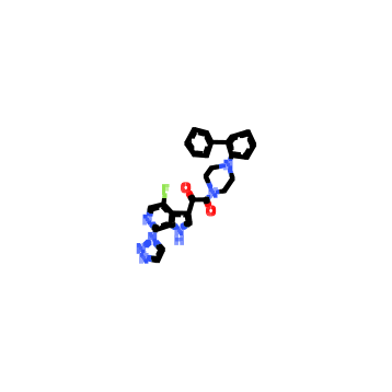 O=C(C(=O)N1CCN(c2ccccc2-c2ccccc2)CC1)c1c[nH]c2c(-n3ccnn3)ncc(F)c12